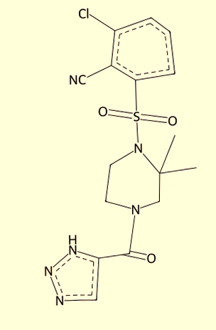 CC1(C)CN(C(=O)c2cnn[nH]2)CCN1S(=O)(=O)c1cccc(Cl)c1C#N